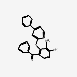 Nc1ccc(C(=O)c2ccccc2)c(Oc2cccc(-c3ccccc3)c2)c1N